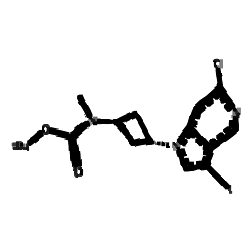 CN(C(=O)OC(C)(C)C)[C@H]1C[C@H](n2cc(I)c3cnc(Cl)cc32)C1